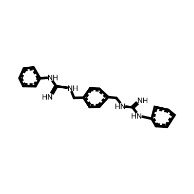 N=C(NCc1ccc(CNC(=N)Nc2ccccc2)cc1)Nc1ccccc1